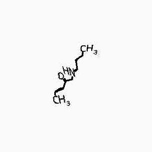 CC=CC(=O)CNCCCC